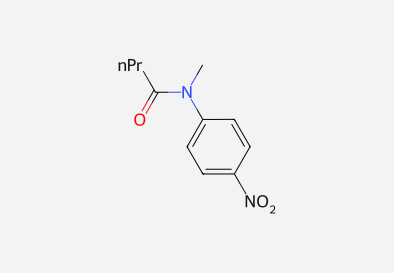 CCCC(=O)N(C)c1ccc([N+](=O)[O-])cc1